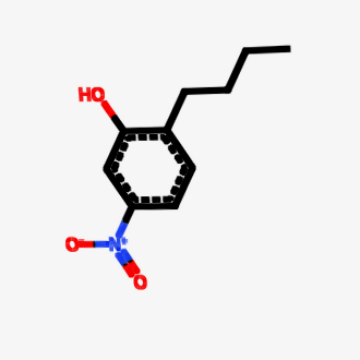 CCCCc1ccc([N+](=O)[O-])cc1O